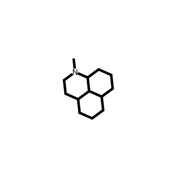 CN1CCC2CCCC3CCCC1C32